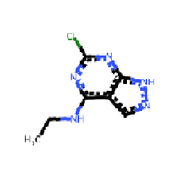 CCNc1nc(Cl)nc2[nH]ncc12